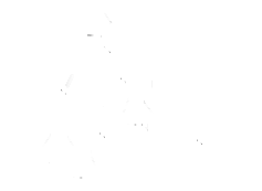 C=C(F)C(=O)N1CCN(c2c(F)c(OCC3CCCN3C)nc3c2CCN(c2cccc4cccc(Cl)c24)C3)CC1CC#N